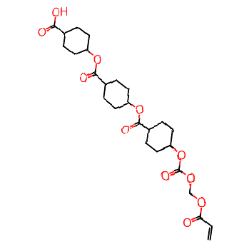 C=CC(=O)OCOC(=O)OC1CCC(C(=O)OC2CCC(C(=O)OC3CCC(C(=O)O)CC3)CC2)CC1